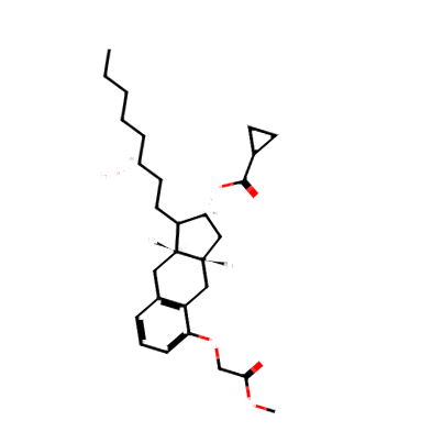 CCCCC[C@@H](O)CCC1[C@H]2Cc3cccc(OCC(=O)OC)c3C[C@H]2C[C@H]1OC(=O)C1CC1